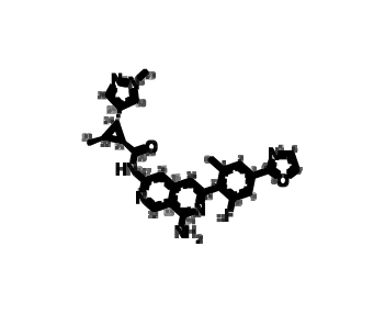 Cc1cc(-c2ncco2)cc(F)c1-c1cc2cc(NC(=O)[C@H]3[C@@H](C)[C@@H]3c3cnn(C)c3)ncc2c(N)n1